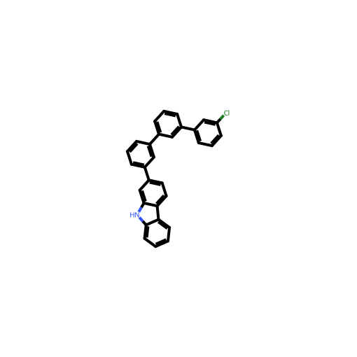 Clc1cccc(-c2cccc(-c3cccc(-c4ccc5c(c4)[nH]c4ccccc45)c3)c2)c1